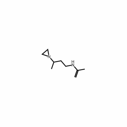 C=C(C)NCCC(C)N1CC1